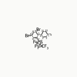 Cc1ccc(-c2c(Br)[c]c(Br)cc2SC(F)(F)C(F)(F)C(F)(F)F)cc1